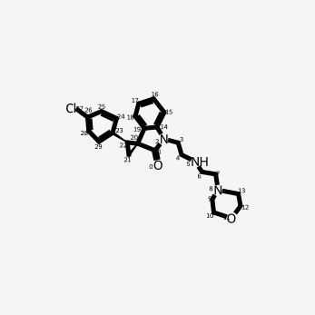 O=C1N(CCNCCN2CCOCC2)c2ccccc2[C@]12C[C@H]2c1ccc(Cl)cc1